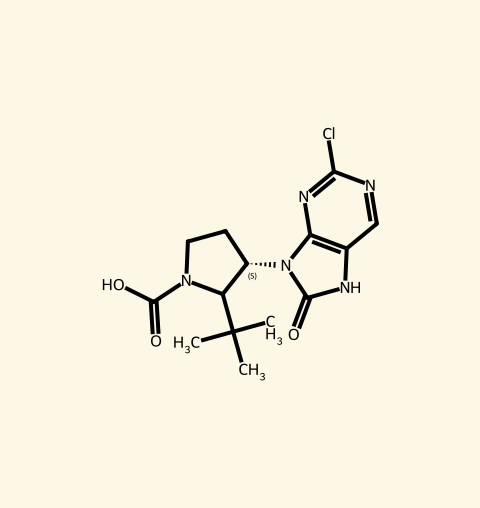 CC(C)(C)C1[C@@H](n2c(=O)[nH]c3cnc(Cl)nc32)CCN1C(=O)O